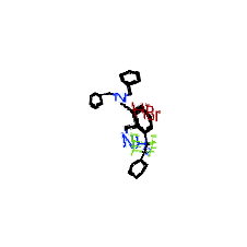 Br.NCc1c(CN(Cc2ccccc2)Cc2ccccc2)cccc1C(F)(F)C(F)(F)c1ccccc1